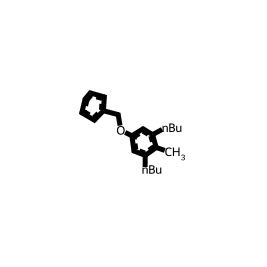 CCCCc1cc(OCc2ccccc2)cc(CCCC)c1C